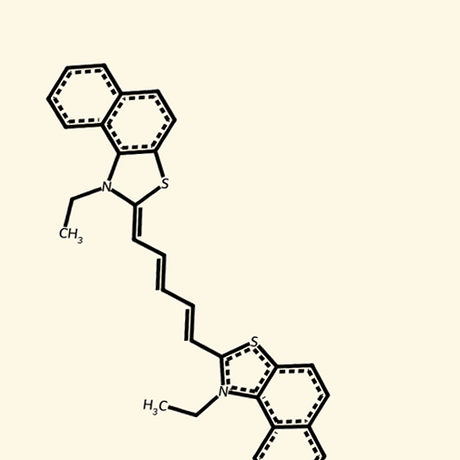 CCN1/C(=C/C=C/C=C/c2sc3ccc4ccccc4c3[n+]2CC)Sc2ccc3ccccc3c21